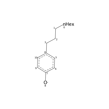 CCCCCCCCCc1ccc([O])cc1